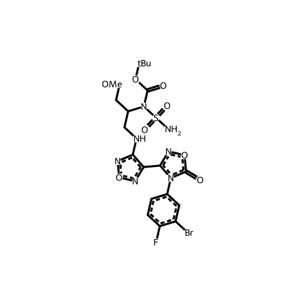 COCC(CNc1nonc1-c1noc(=O)n1-c1ccc(F)c(Br)c1)N(C(=O)OC(C)(C)C)S(N)(=O)=O